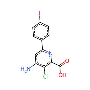 Nc1cc(-c2ccc(I)cc2)nc(C(=O)O)c1Cl